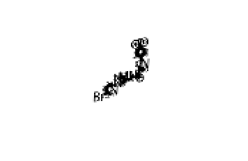 CS(=O)(=O)c1ccc(-c2ncc(C(=O)NCc3cn(-c4ccc(Br)cn4)nn3)s2)cc1